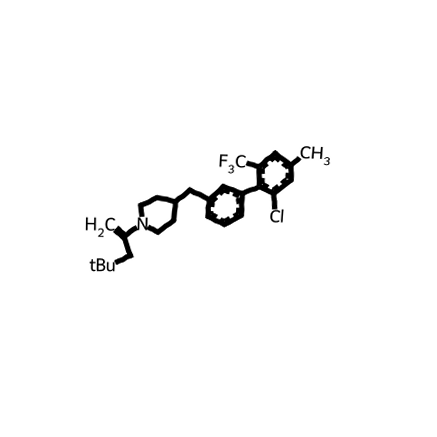 C=C(CC(C)(C)C)N1CCC(Cc2cccc(-c3c(Cl)cc(C)cc3C(F)(F)F)c2)CC1